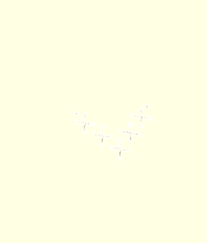 [K+].[O]=[Mn](=[O])(=[O])[O-].[O]=[Mn](=[O])(=[O])[O-].[O]=[Mn](=[O])(=[O])[O-].[O]=[Mn](=[O])(=[O])[O-].[O]=[Mn](=[O])(=[O])[O-].[Ti+4]